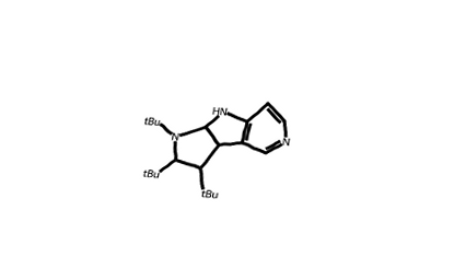 CC(C)(C)C1C2c3cnccc3NC2N(C(C)(C)C)C1C(C)(C)C